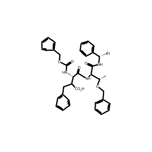 CC[C@H](NC(=O)[C@H](NC(=O)[C@@H](NC(=O)OCc1ccccc1)C(Cc1ccccc1)C(=O)O)[C@H](C)OCc1ccccc1)c1ccccc1